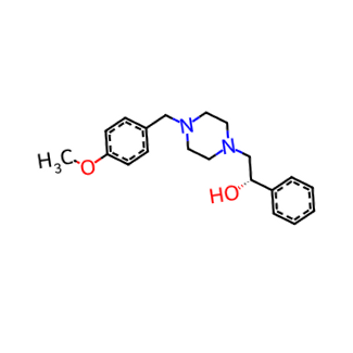 COc1ccc(CN2CCN(C[C@@H](O)c3ccccc3)CC2)cc1